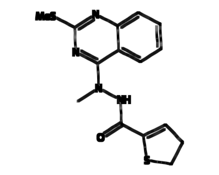 CSc1nc(N(C)NC(=O)C2=CCCS2)c2ccccc2n1